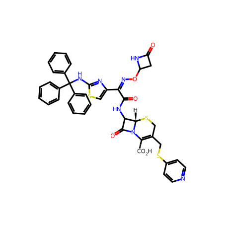 O=C1CC(O/N=C(\C(=O)NC2C(=O)N3C(C(=O)O)=C(CSc4ccncc4)CS[C@@H]23)c2csc(NC(c3ccccc3)(c3ccccc3)c3ccccc3)n2)N1